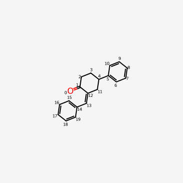 O=C1CCC(c2ccccc2)CC1=Cc1ccccc1